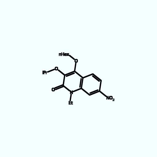 CCCCCCOc1c(OC(C)C)c(=O)n(CC)c2cc([N+](=O)[O-])ccc12